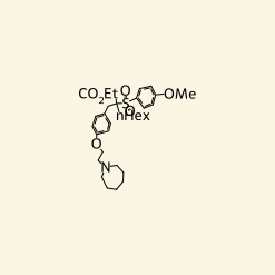 CCCCCCC(Cc1ccc(OCCN2CCCCCC2)cc1)(C(=O)OCC)S(=O)(=O)c1ccc(OC)cc1